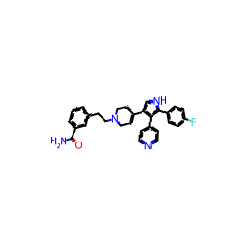 NC(=O)c1cccc(CCN2CC=C(c3c[nH]c(-c4ccc(F)cc4)c3-c3ccncc3)CC2)c1